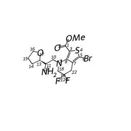 COC(=O)c1sc(Br)c2c1N(CC(N)[C@H]1CCCO1)CC(F)(F)C2